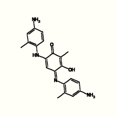 CC1=C(O)/C(=N\c2ccc(N)cc2C)C=C(Nc2ccc(N)cc2C)C1=O